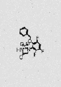 O=C1CN(c2c(F)c(F)cc(F)c2OCc2ccccc2)S(=O)(=O)N1